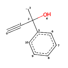 C#CC([CH2])(O)c1ccccc1